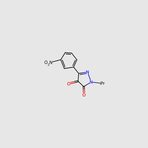 CC(C)N1N=C(c2cccc([N+](=O)[O-])c2)C(=O)C1=O